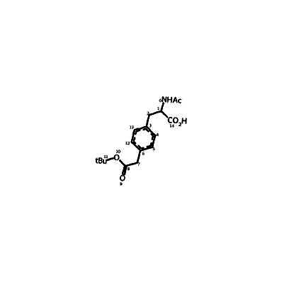 CC(=O)NC(Cc1ccc(CC(=O)OC(C)(C)C)cc1)C(=O)O